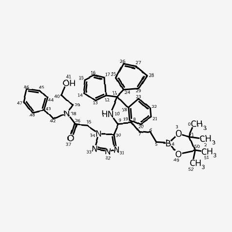 CC1(C)OB(CCCCC(NC(c2ccccc2)(c2ccccc2)c2ccccc2)c2nnnn2CC(=O)N(CCO)Cc2ccccc2)OC1(C)C